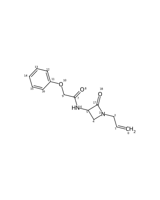 C=CCN1CC(NC(=O)COc2ccccc2)C1=O